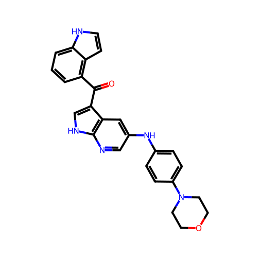 O=C(c1cccc2[nH]ccc12)c1c[nH]c2ncc(Nc3ccc(N4CCOCC4)cc3)cc12